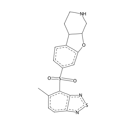 Cc1ccc2nsnc2c1S(=O)(=O)c1ccc2c(c1)OC1CNCCC21